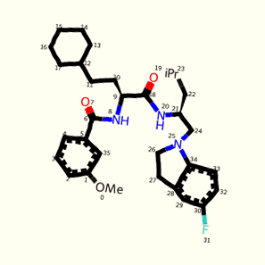 COc1cccc(C(=O)N[C@@H](CCC2CCCCC2)C(=O)N[C@@H](CC(C)C)CN2CCc3cc(F)ccc32)c1